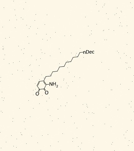 CCCCCCCCCCCCCCCCCCCCCC1=C(N)C(=O)C(=O)C=C1